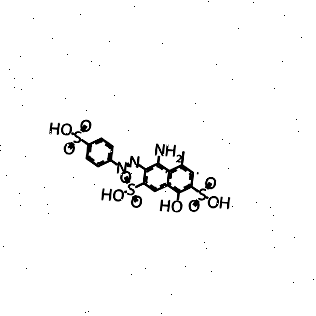 Cc1[c]c(S(=O)(=O)O)c(O)c2cc(S(=O)(=O)O)c(N=Nc3ccc(S(=O)(=O)O)cc3)c(N)c12